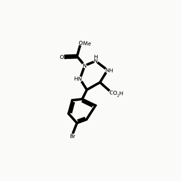 COC(=O)N1NNC(C(=O)O)C(c2ccc(Br)cc2)N1